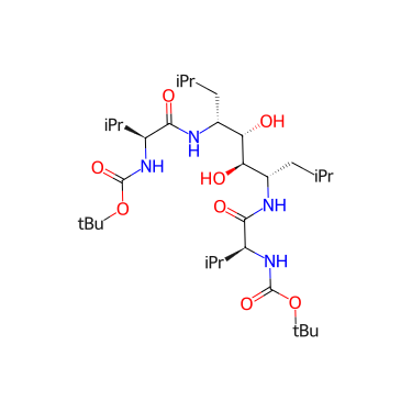 CC(C)C[C@H](NC(=O)[C@@H](NC(=O)OC(C)(C)C)C(C)C)[C@@H](O)[C@@H](O)[C@@H](CC(C)C)NC(=O)[C@@H](NC(=O)OC(C)(C)C)C(C)C